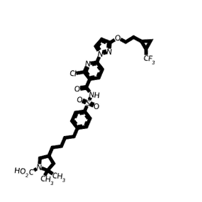 CC1(C)CC(CCCCc2ccc(S(=O)(=O)NC(=O)c3ccc(-n4ccc(OCCC5CC5C(F)(F)F)n4)nc3Cl)cc2)CN1C(=O)O